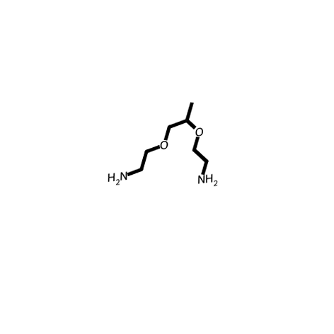 CC(COCCN)OCCN